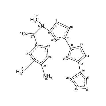 Cc1cc(C(=O)N(C)c2ccc(-c3ccc(-c4cccs4)s3)s2)ccc1N